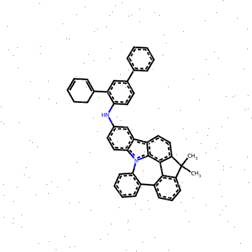 CC1(C)c2cccc3c2-c2c1ccc1c4cc(Nc5ccc(-c6ccccc6)cc5C5=CC=CCC5)ccc4n(c21)-c1ccccc1-3